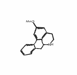 COc1cc2c3c(c1)-c1ccccc1CC3NCC2